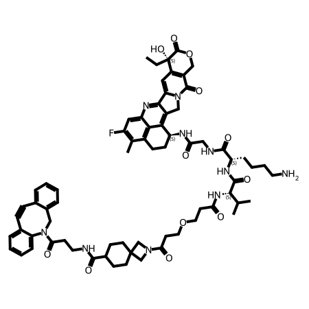 CC[C@@]1(O)C(=O)OCc2c1cc1n(c2=O)Cc2c-1nc1cc(F)c(C)c3c1c2[C@@H](NC(=O)CNC(=O)[C@H](CCCCN)NC(=O)[C@@H](NC(=O)CCOCCC(=O)N1CC2(CCC(C(=O)NCCC(=O)N4Cc5ccccc5C#Cc5ccccc54)CC2)C1)C(C)C)CC3